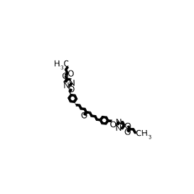 CCCC(=O)Oc1cnc(OCC2CCC(CCCCC(=O)CCCC[C@H]3CC[C@H](COc4ncc(OC(=O)CCC)cn4)CC3)CC2)nc1